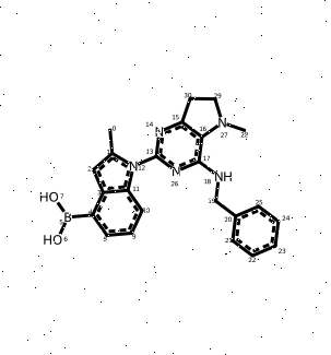 Cc1cc2c(B(O)O)cccc2n1-c1nc2c(c(NCc3ccccc3)n1)N(C)CC2